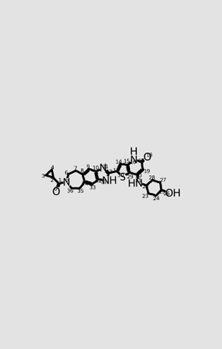 O=C(C1CC1)N1CCc2cc3nc(-c4cc5[nH]c(=O)cc(NC6CCC(O)CC6)c5s4)[nH]c3cc2CC1